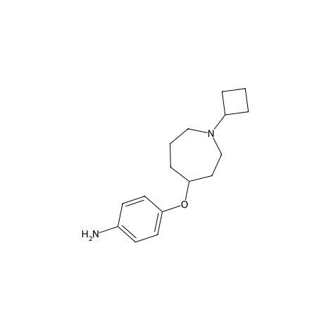 Nc1ccc(OC2CCCN(C3CCC3)CC2)cc1